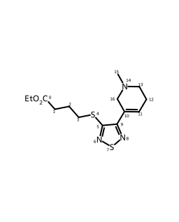 CCOC(=O)CCCSc1nsnc1C1=CCCN(C)C1